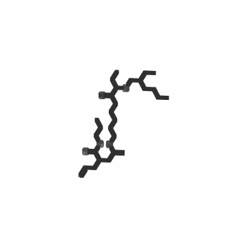 C=CCC(CC(=C)OCCCCCC(=O)C(CC)OCC(CC)CCCC)C(=O)OCCC